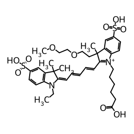 CCN1/C(=C/C=C/C=C/C2=[N+](CCCCCC(=O)O)c3ccc(S(=O)(=O)O)cc3C2(C)CCOCCOC)C(C)(C)c2cc(S(=O)(=O)O)ccc21